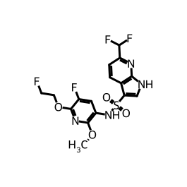 COc1nc(OCCF)c(F)cc1NS(=O)(=O)c1c[nH]c2nc(C(F)F)ccc12